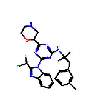 Cc1cccc(CC(C)(C)Nc2nc(C3CNCCO3)nc(-n3c(C(F)F)nc4ccccc43)n2)c1